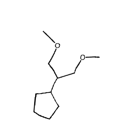 COCC(COC)C1CCCC1